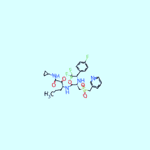 CCC[C@H](NC(=O)[C@H](CS(=O)(=O)Cc1cccnc1)N[C@@H](c1ccc(F)cc1)C(F)(F)F)C(=O)C(=O)NC1CC1